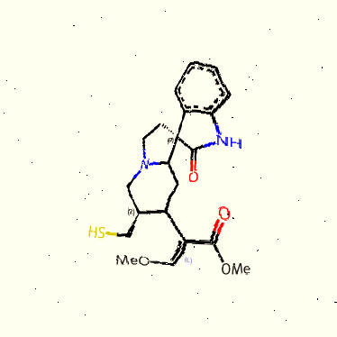 CO/C=C(/C(=O)OC)C1CC2N(CC[C@]23C(=O)Nc2ccccc23)C[C@@H]1CS